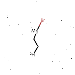 [2H]C[CH2][Mg][Br]